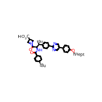 CCCCCCCOc1ccc(-c2cnc(-c3ccc(C(C(NC(=O)c4ccc(C(C)(C)C)cc4)C(=O)N4CC(C(=O)O)C4)C(C)(C)C)cc3)nc2)cc1